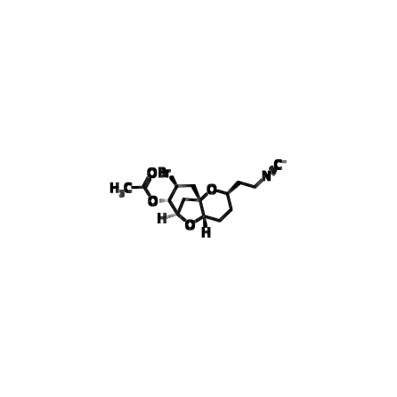 [C-]#[N+]CC[C@H]1CC[C@@H]2O[C@@H]3C[C@]2(C[C@H](Br)[C@H]3OC(C)=O)O1